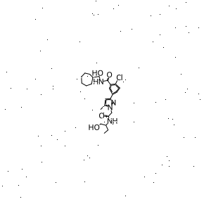 CCC(CO)NC(=O)Cn1nc(-c2ccc(Cl)c(C(=O)NC(O)C3CCCCCC3)c2)cc1C